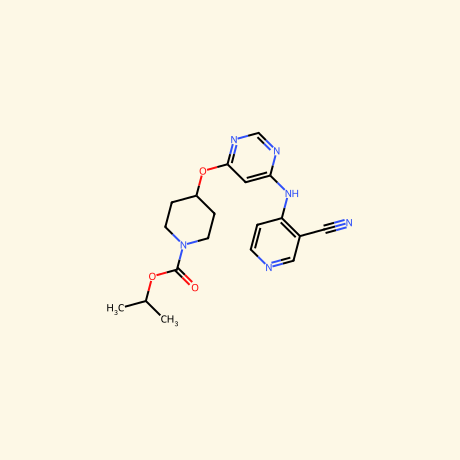 CC(C)OC(=O)N1CCC(Oc2cc(Nc3ccncc3C#N)ncn2)CC1